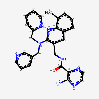 Cc1cccc2cc(CNC(=O)c3nccnc3N)c(N(Cc3cccnc3)Cc3ccccn3)nc12